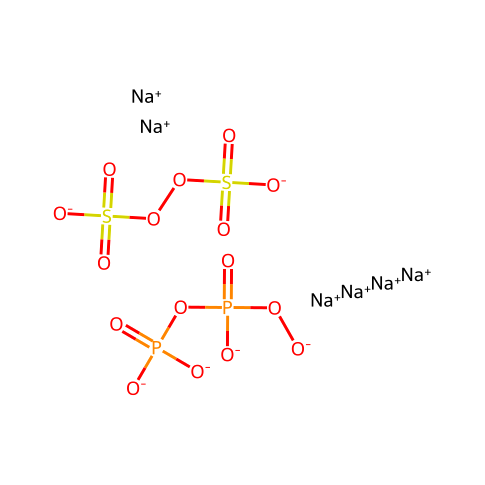 O=P([O-])([O-])OP(=O)([O-])O[O-].O=S(=O)([O-])OOS(=O)(=O)[O-].[Na+].[Na+].[Na+].[Na+].[Na+].[Na+]